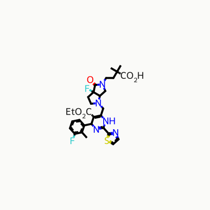 CCOC(=O)C1=C(CN2CCC3(F)C(=O)N(CCC(C)(C)C(=O)O)CC23)NC(c2nccs2)=NC1c1cccc(F)c1C